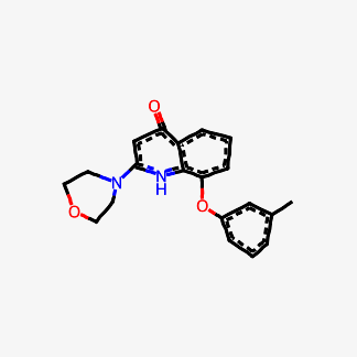 Cc1cccc(Oc2cccc3c(=O)cc(N4CCOCC4)[nH]c23)c1